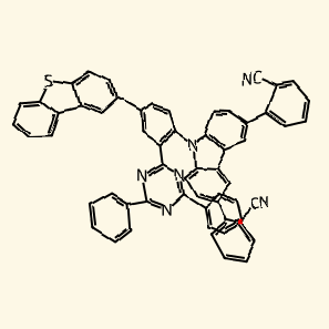 N#Cc1ccccc1-c1ccc2c(c1)c1cc(-c3ccccc3C#N)ccc1n2-c1ccc(-c2ccc3sc4ccccc4c3c2)cc1-c1nc(-c2ccccc2)nc(-c2ccccc2)n1